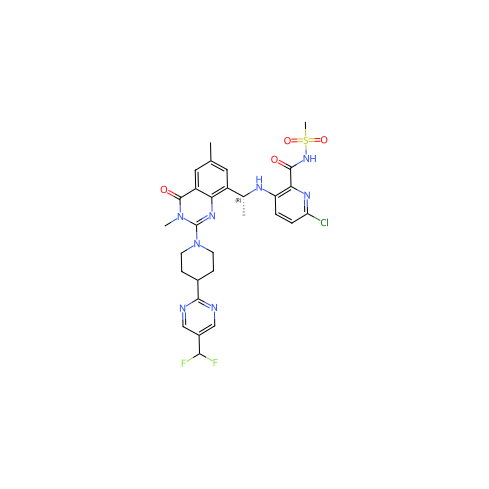 Cc1cc([C@@H](C)Nc2ccc(Cl)nc2C(=O)NS(C)(=O)=O)c2nc(N3CCC(c4ncc(C(F)F)cn4)CC3)n(C)c(=O)c2c1